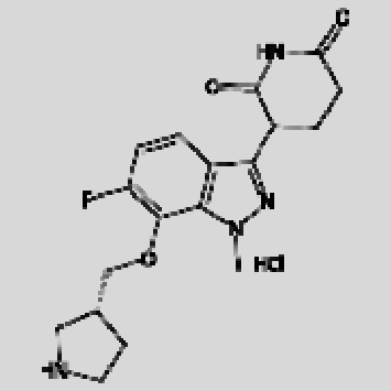 Cl.Cn1nc(C2CCC(=O)NC2=O)c2ccc(F)c(OC[C@@H]3CCNC3)c21